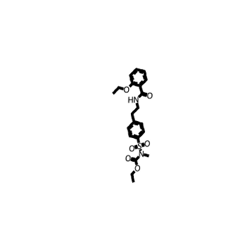 CCOC(=O)N(C)S(=O)(=O)c1ccc(CCNC(=O)c2ccccc2OCC)cc1